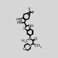 CC(C(=O)N(C)c1ccc2[nH]c(C3NNC4=C3CC3C(C4)C3(F)F)nc2c1)N1CCOCC1